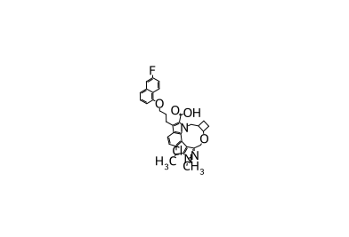 CCc1c2c(nn1C)COC1CCC1Cn1c(C(=O)O)c(CCCOc3cccc4cc(F)ccc34)c3ccc(Cl)c-2c31